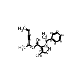 C=CC#CC(C)OC(=O)c1c(Cl)nnn1[C@H](C)c1ccccc1